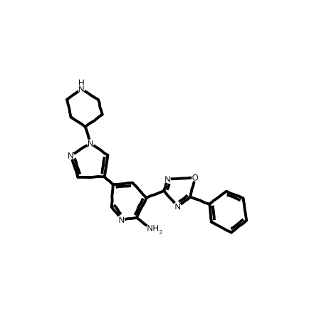 Nc1ncc(-c2cnn(C3CCNCC3)c2)cc1-c1noc(-c2ccccc2)n1